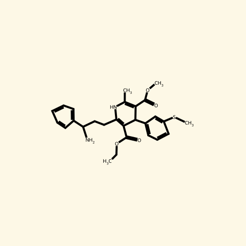 CCOC(=O)C1=C(CCC(N)c2ccccc2)NC(C)=C(C(=O)OC)C1c1cccc(SC)c1